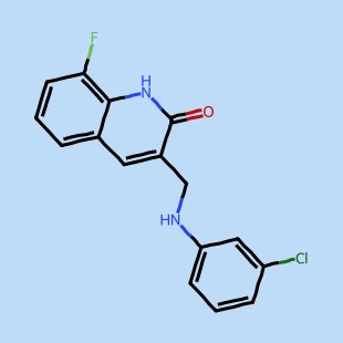 O=c1[nH]c2c(F)cccc2cc1CNc1cccc(Cl)c1